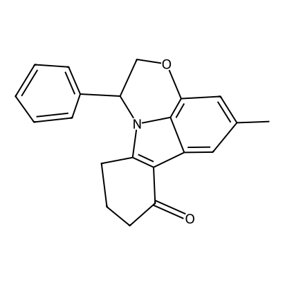 Cc1cc2c3c(c1)c1c(n3C(c3ccccc3)CO2)CCCC1=O